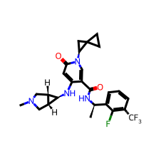 C[C@@H](NC(=O)c1cn([C@H]2CC23CC3)c(=O)cc1N[C@H]1[C@@H]2CN(C)C[C@@H]21)c1cccc(C(F)(F)F)c1F